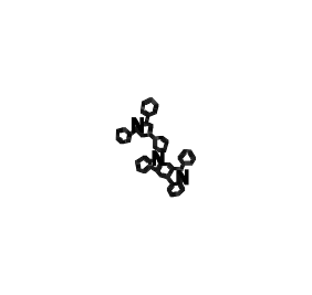 c1ccc(-c2cc(-c3cccc(-n4c5ccccc5c5cc6c(cc54)c(-c4ccccc4)nc4ccccc46)c3)cc(-c3ccccc3)n2)cc1